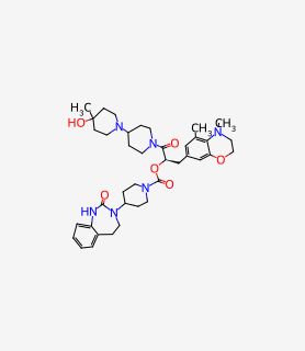 Cc1cc(C[C@@H](OC(=O)N2CCC(N3CCc4ccccc4NC3=O)CC2)C(=O)N2CCC(N3CCC(C)(O)CC3)CC2)cc2c1N(C)CCO2